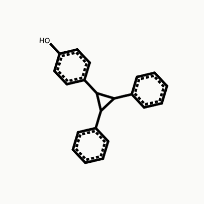 Oc1ccc(C2C(c3ccccc3)C2c2ccccc2)cc1